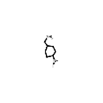 NCC1CCC(NI)CC1